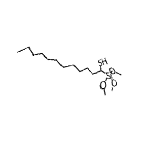 CCCCCCCCCCCC(S)[Si](OC)(OC)OC